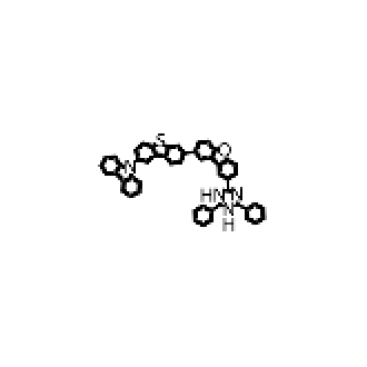 c1ccc(C2N=C(c3ccc4oc5ccc(-c6ccc7c(c6)sc6ccc(-n8c9ccccc9c9ccccc98)cc67)cc5c4c3)NC(c3ccccc3)N2)cc1